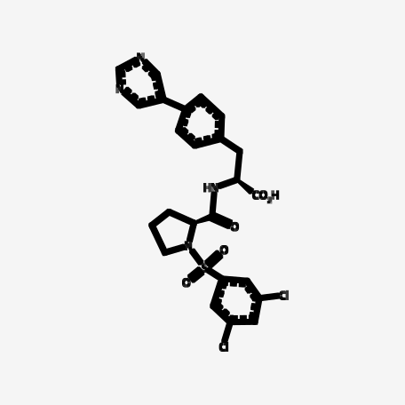 O=C(O)[C@H](Cc1ccc(-c2cncnc2)cc1)NC(=O)[C@@H]1CCCN1S(=O)(=O)c1cc(Cl)cc(Cl)c1